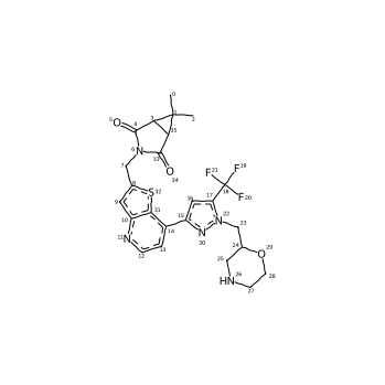 CC1(C)C2C(=O)N(Cc3cc4nccc(-c5cc(C(F)(F)F)n(CC6CNCCO6)n5)c4s3)C(=O)C21